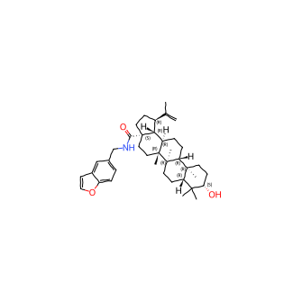 C=C(C)[C@@H]1CC[C@]2(C(=O)NCc3ccc4occc4c3)CC[C@]3(C)[C@H](CC[C@@H]4[C@@]5(C)CC[C@H](O)C(C)(C)[C@@H]5CC[C@]43C)[C@@H]12